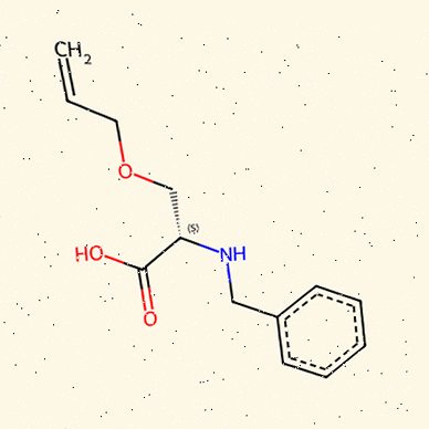 C=CCOC[C@H](NCc1ccccc1)C(=O)O